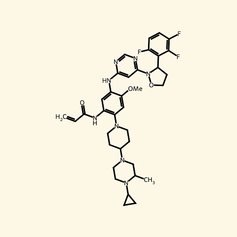 C=CC(=O)Nc1cc(Nc2cc(N3OCCC3c3c(F)ccc(F)c3F)ncn2)c(OC)cc1N1CCC(N2CCN(C3CC3)C(C)C2)CC1